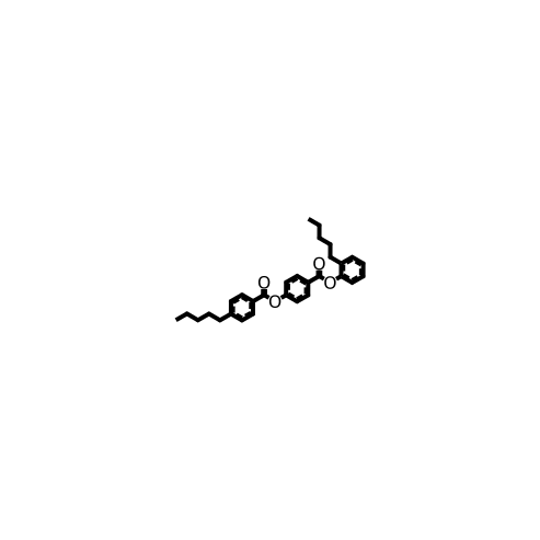 CCCCCc1ccc(C(=O)Oc2ccc(C(=O)Oc3ccccc3CCCCC)cc2)cc1